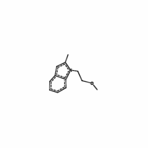 COCCn1c(C)cc2ccccc21